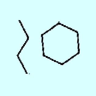 [CH2]CCC.[CH]1CCCCC1